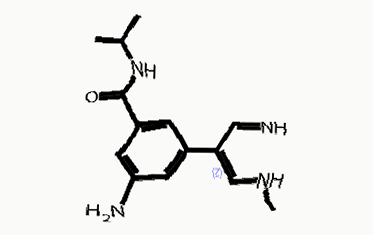 CN/C=C(\C=N)c1cc(N)cc(C(=O)NC(C)C)c1